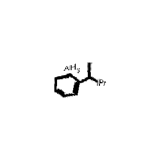 [AlH3].[CH2]C(c1ccccc1)C(C)C